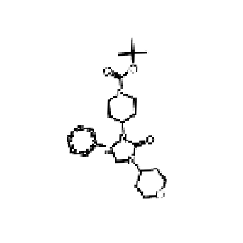 CC(C)(C)OC(=O)N1CCC(N2C(=O)N(C3CCOCC3)C[C@H]2c2ccccc2)CC1